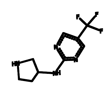 FC(F)(F)c1cnc(NC2CCNC2)nc1